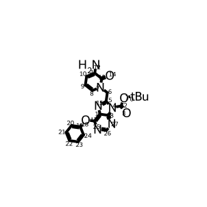 CC(C)(C)OC(=O)n1c(Cn2cccc(N)c2=O)nc2c(Oc3ccccc3)ncnc21